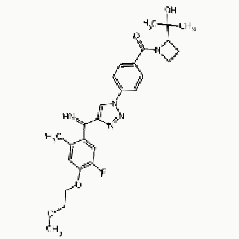 COCCOc1cc(C)c(C(=N)c2cn(-c3ccc(C(=O)N4CC[C@@H]4C(C)(C)O)cc3)nn2)cc1F